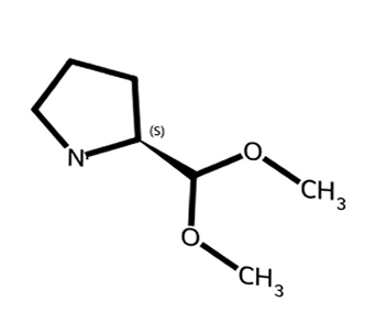 COC(OC)[C@@H]1CCC[N]1